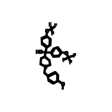 COc1ccc(CN2CCC(C(O)(c3ccc(OC(F)(F)F)cc3)c3ccc(OC(F)(F)F)cc3)CC2)cc1